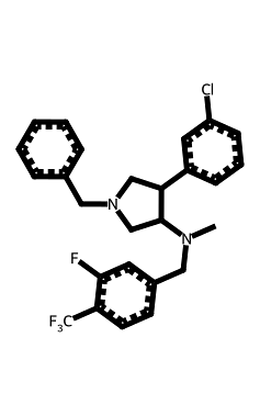 CN(Cc1ccc(C(F)(F)F)c(F)c1)C1CN(Cc2ccccc2)CC1c1cccc(Cl)c1